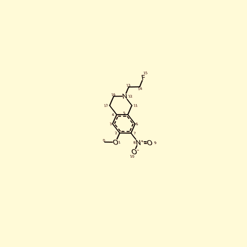 COc1cc2c(cc1[N+](=O)[O-])CN(CCF)CC2